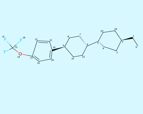 CC[C@H]1CC[C@H]([C@H]2CC[C@H](c3ccc(OC(F)(F)F)cc3)CC2)CC1